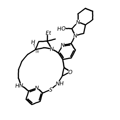 CCC1(C)C[C@@H]2CCCCNc3cccc(n3)SNC3OC3c3ccc(N4CC5CCCCN5C4O)nc3N1C2